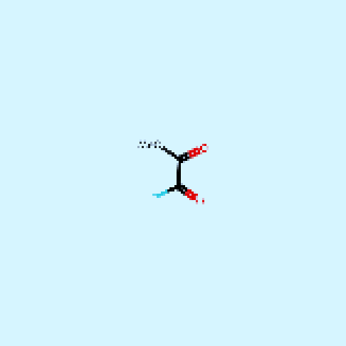 COC(=O)C(=O)F